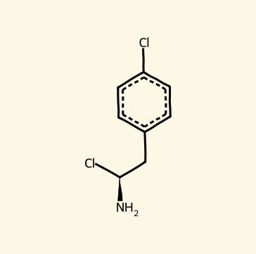 N[C@@H](Cl)Cc1ccc(Cl)cc1